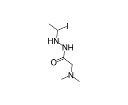 CC(I)NNC(=O)CN(C)C